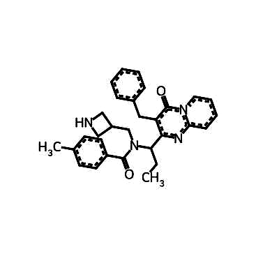 CCC(c1nc2ccccn2c(=O)c1Cc1ccccc1)N(CC1CNC1)C(=O)c1ccc(C)cc1